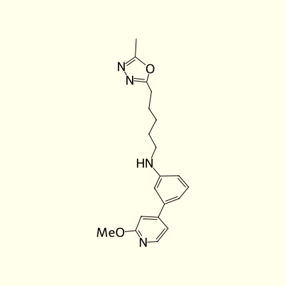 COc1cc(-c2cccc(NCCCCCc3nnc(C)o3)c2)ccn1